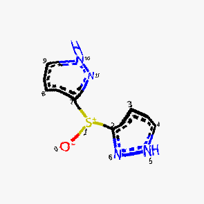 [O-][S+](c1cc[nH]n1)c1cc[nH]n1